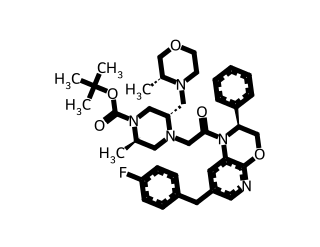 C[C@@H]1COCCN1C[C@H]1CN(C(=O)OC(C)(C)C)[C@H](C)CN1CC(=O)N1c2cc(Cc3ccc(F)cc3)cnc2OC[C@@H]1c1ccccc1